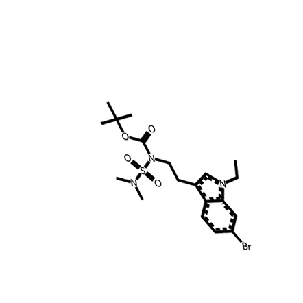 CCn1cc(CCN(C(=O)OC(C)(C)C)S(=O)(=O)N(C)C)c2ccc(Br)cc21